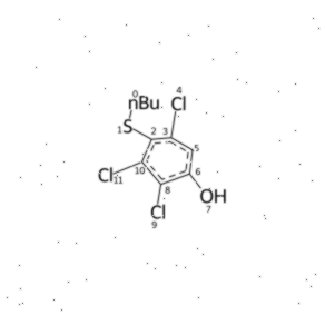 CCCCSc1c(Cl)cc(O)c(Cl)c1Cl